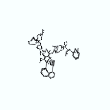 C#Cc1cccc2cccc(-c3ncc4c(N5CCN(C(=O)C(F)=Cc6ccccn6)C[C@@H]5C)nc(OC[C@@]56CCCN5C[C@H](F)C6)nc4c3F)c12